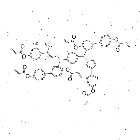 C#C/C=C\C(=C/CC(c1ccc(C(c2cc(-c3ccc(OC(=O)C=C)cc3)ccc2OC(=O)C=C)C2C=CC(c3ccc(OC(=O)C=C)cc3)=C2)cc1)c1cc(-c2ccc(OC(=O)C=C)cc2)ccc1OC(=O)C=C)c1ccc(OC(=O)C=C)cc1